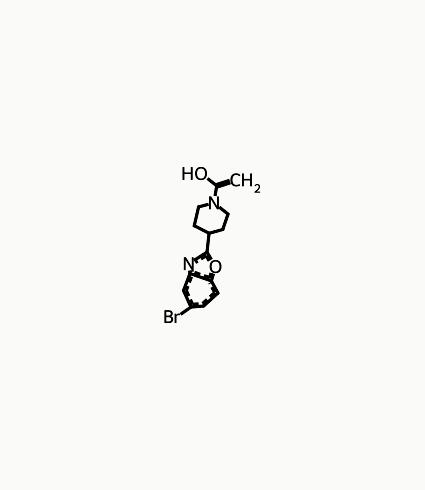 C=C(O)N1CCC(c2nc3cc(Br)ccc3o2)CC1